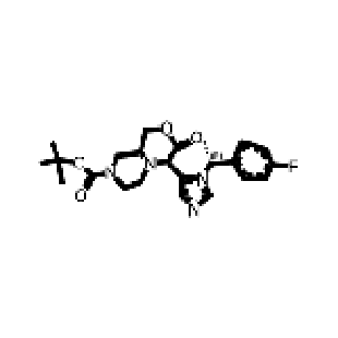 C[C@H](c1ccc(F)cc1)n1cncc1C1C(=O)OCC2CN(C(=O)OC(C)(C)C)CCN21